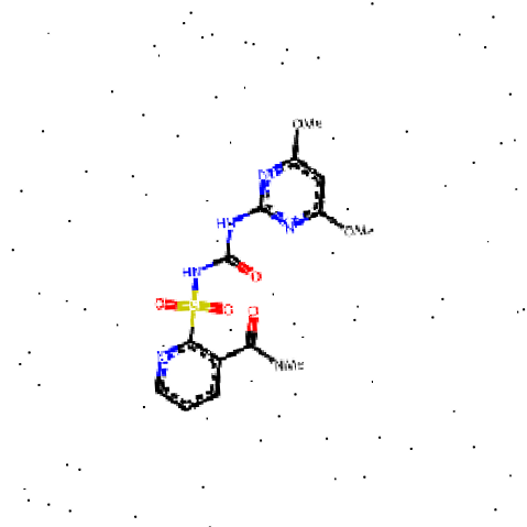 CNC(=O)c1cccnc1S(=O)(=O)NC(=O)Nc1nc(OC)cc(OC)n1